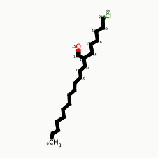 CCCCCCCCCCCCCC(C=O)CCCCCCCl